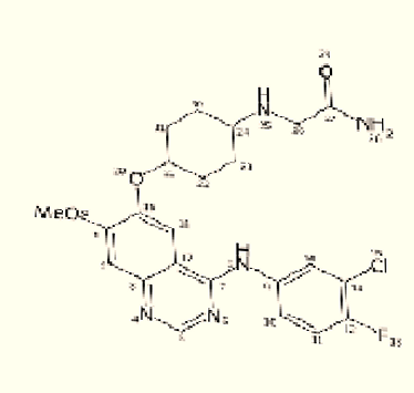 COc1cc2ncnc(Nc3ccc(F)c(Cl)c3)c2cc1OC1CCC(NCC(N)=O)CC1